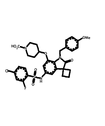 COc1ccc(CN2C(=O)C3(CCC3)c3cc(NS(=O)(=O)c4ccc(Cl)cc4F)cc(OC4CCN(C(=O)O)CC4)c32)cc1